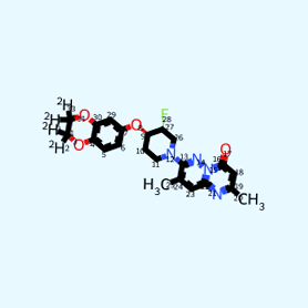 [2H]C1([2H])Oc2ccc(O[C@@H]3CCN(c4nn5c(=O)cc(C)nc5cc4C)C[C@H]3F)cc2OC1([2H])[2H]